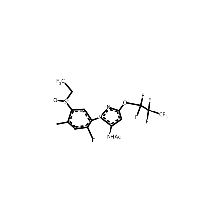 CC(=O)Nc1cc(OC(F)(F)C(F)(F)C(F)(F)F)nn1-c1cc([S+]([O-])CC(F)(F)F)c(C)cc1F